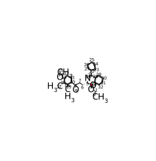 CCOC(=O)[C@H](CCC(=O)c1ccc(OC)c(C)c1C)N=C(c1ccccc1)c1ccccc1